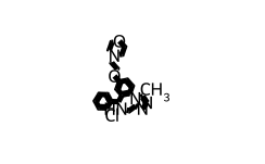 Cc1nnc2n1-c1ccc(OCCN3CCOCC3)cc1C(c1ccccc1Cl)NC2